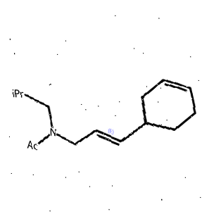 CC(=O)N(C/C=C/C1CC=CCC1)CC(C)C